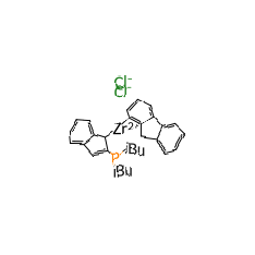 CCC(C)P(C1=Cc2ccccc2[CH]1[Zr+2][c]1cccc2c1Cc1ccccc1-2)C(C)CC.[Cl-].[Cl-]